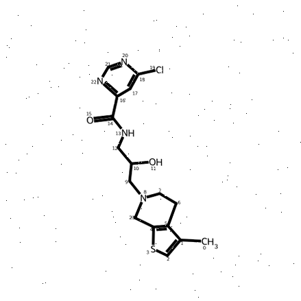 Cc1csc2c1CCN(CC(O)CNC(=O)c1cc(Cl)ncn1)C2